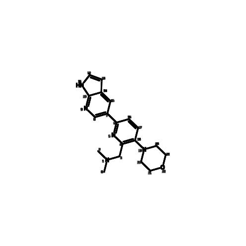 CN(C)Cc1nc(-c2cnc3[nH]ccc3c2)ccc1N1CCOCC1